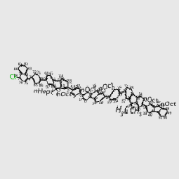 CCCCCCCCC1(CCCCCCC)c2cc(-c3ccc(-c4ccc5c(c4)C(CCCCCCCC)(CCCCCCCC)c4cc(-c6ccc(-c7ccc8c(c7)C(C)(C)c7cc(-c9ccc%10c(c9)C(CCCCCCCC)(CCCCCCCC)c9ccccc9-%10)ccc7-8)cc6)ccc4-5)cc3)ccc2-c2ccc(-c3ccc(-c4ccc(Cl)c5ccccc45)cc3)cc21